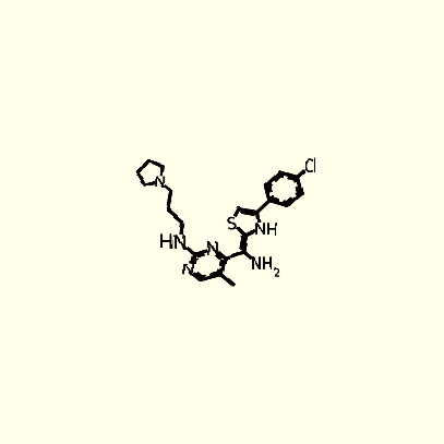 Cc1cnc(NCCCN2CCCC2)nc1/C(N)=C1/NC(c2ccc(Cl)cc2)=CS1